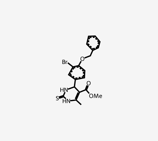 COC(=O)C1=C(C)NC(=S)NC1c1ccc(OCc2ccccc2)c(Br)c1